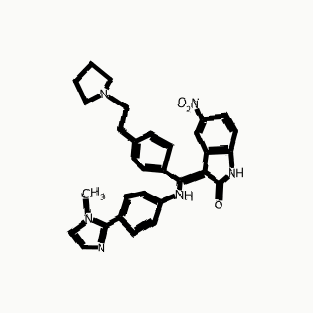 Cn1ccnc1-c1ccc(N/C(=C2\C(=O)Nc3ccc([N+](=O)[O-])cc32)c2ccc(CCN3CCCC3)cc2)cc1